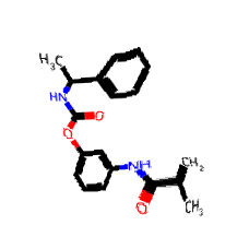 C=C(C)C(=O)Nc1cccc(OC(=O)NC(C)c2ccccc2)c1